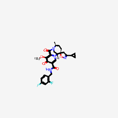 CCCCOc1c2n(cc(C(=O)NCc3ccc(F)cc3F)c1=O)[C@@H]1CN(C2=O)[C@@H](C)CC[C@]12CC(C1CC1)=NO2